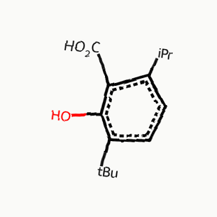 CC(C)c1ccc(C(C)(C)C)c(O)c1C(=O)O